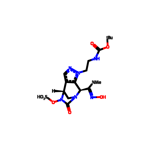 CN/C(=N\O)[C@@H]1c2c(cnn2CCNC(=O)OC(C)(C)C)[C@@H]2CN1C(=O)N2OS(=O)(=O)O